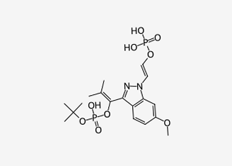 COc1ccc2c(C(OP(=O)(O)OC(C)(C)C)=C(C)C)nn(C=COP(=O)(O)O)c2c1